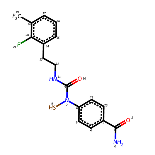 NC(=O)c1ccc(N(S)C(=O)NCCc2cccc(C(F)(F)F)c2F)cc1